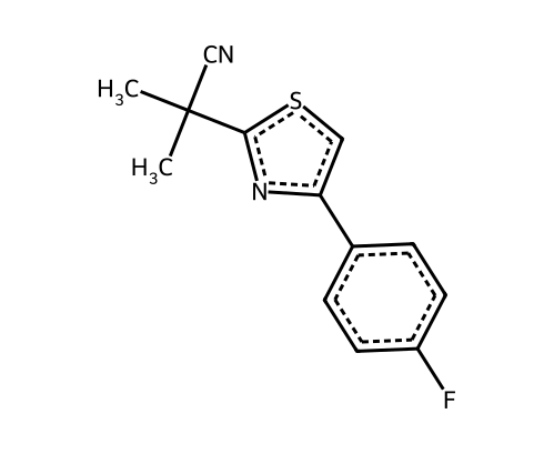 CC(C)(C#N)c1nc(-c2ccc(F)cc2)cs1